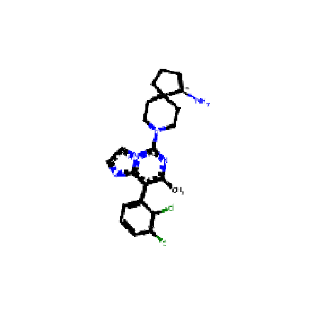 Cc1nc(N2CCC3(CCC[C@H]3N)CC2)n2ccnc2c1C1=CC=CC(Cl)C1Cl